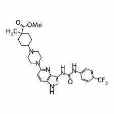 COC(=O)C1(C)CCC(N2CCN(c3ccc4[nH]cc(NC(=O)Nc5ccc(C(F)(F)F)cc5)c4n3)CC2)CC1